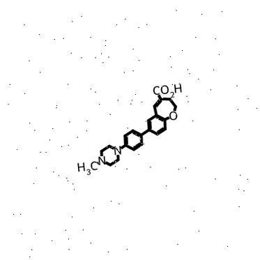 CN1CCN(c2ccc(-c3ccc4c(c3)C=C(C(=O)O)CCO4)cc2)CC1